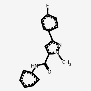 Cn1nc(-c2ccc(F)cc2)cc1C(=O)Nc1ccccc1